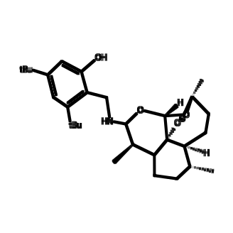 C[C@H]1C(NCc2c(O)cc(C(C)(C)C)cc2C(C)(C)C)O[C@@H]2O[C@]3(C)CC[C@H]4[C@H](C)CCC1[C@@]24OO3